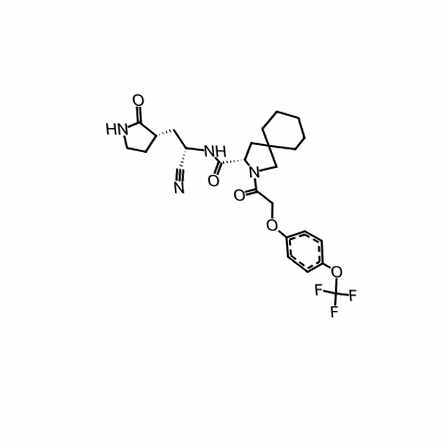 N#C[C@H](C[C@@H]1CCNC1=O)NC(=O)[C@@H]1CC2(CCCCC2)CN1C(=O)COc1ccc(OC(F)(F)F)cc1